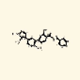 Cc1c(-c2cnc(N)c(-c3ccc(C(=O)NCc4ccccc4)c(F)c3)c2)cnn1C